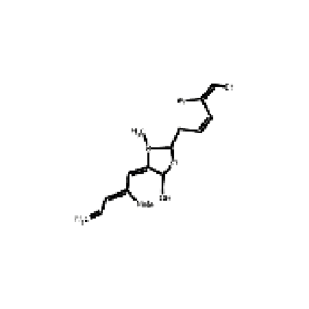 C=C/C=C(/C=C1\C(O)OC(C/C=C\C(=C/CC)C(C)C)N1C)NC